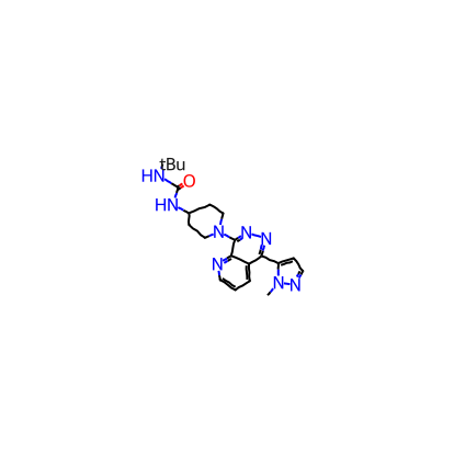 Cn1nccc1-c1nnc(N2CCC(NC(=O)NC(C)(C)C)CC2)c2ncccc12